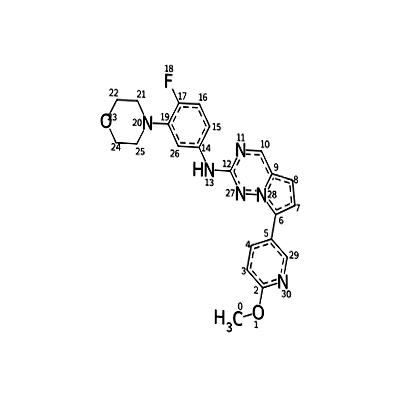 COc1ccc(-c2ccc3cnc(Nc4ccc(F)c(N5CCOCC5)c4)nn23)cn1